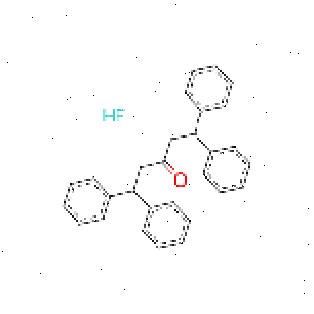 F.O=C(CC(c1ccccc1)c1ccccc1)CC(c1ccccc1)c1ccccc1